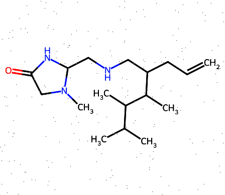 C=CCC(CNCC1NC(=O)CN1C)C(C)C(C)C(C)C